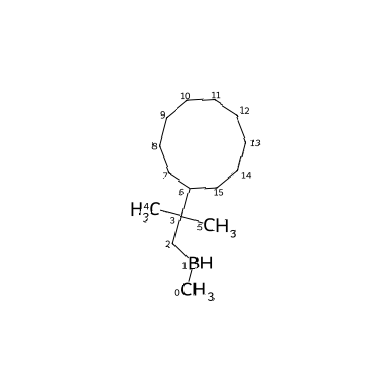 CBCC(C)(C)C1CCCCCCCCC1